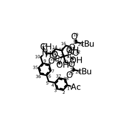 CC(=O)c1ccc(Cc2ccc(CN(C)CCC(COC(=O)C(C)(C)C)C(COC(=O)C(C)(C)C)(P(=O)(O)O)P(=O)(O)O)cc2)cc1